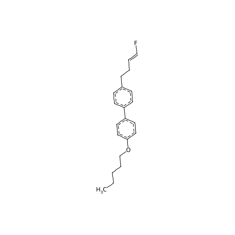 CCCCCOc1ccc(-c2ccc(CCC=CF)cc2)cc1